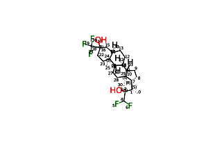 C[C@H]([C@H](O)C(F)F)[C@H]1CC[C@H]2[C@@H]3CC[C@@H]4C[C@@](O)(C(F)(F)F)CC[C@]4(C)[C@H]3CC[C@]12C